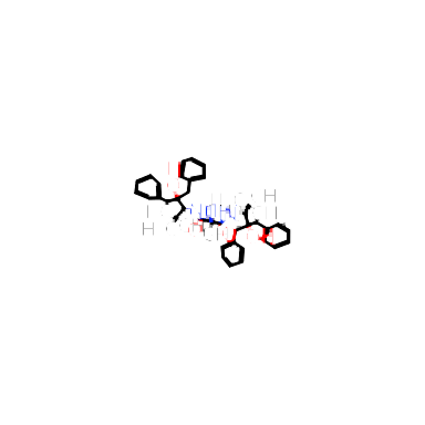 CC(C)(C(=O)N[C@H](C(C)(C)C)C(O)(Cc1ccccc1)Cc1ccccc1)C(=O)N[C@H](C(C)(C)C)C(O)(Cc1ccccc1)Cc1ccccc1